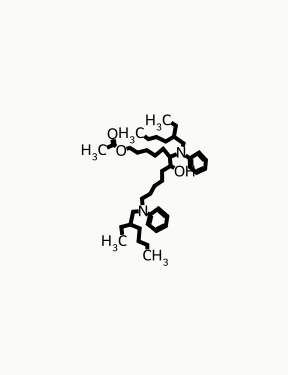 CCCCC(CC)CN(CCCCCC(O)C(CCCCCOC(C)=O)N(CC(CC)CCCC)c1ccccc1)c1ccccc1